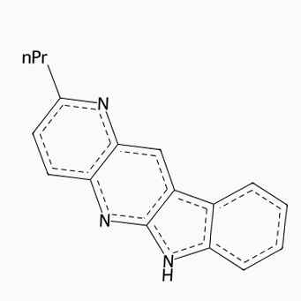 CCCc1ccc2nc3[nH]c4ccccc4c3cc2n1